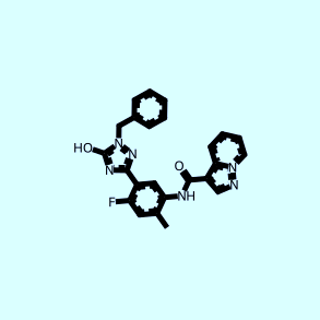 Cc1cc(F)c(-c2nc(O)n(Cc3ccccc3)n2)cc1NC(=O)c1cnn2ccccc12